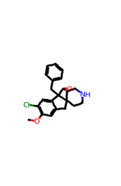 COc1cc2c(cc1Cl)C(C=O)(Cc1ccccc1)C1(CCNCC1)C2